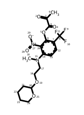 CC(=O)C(=O)Oc1c(C(F)(F)F)ccc(N(C)CCOC2CCCCO2)c1[N+](=O)[O-]